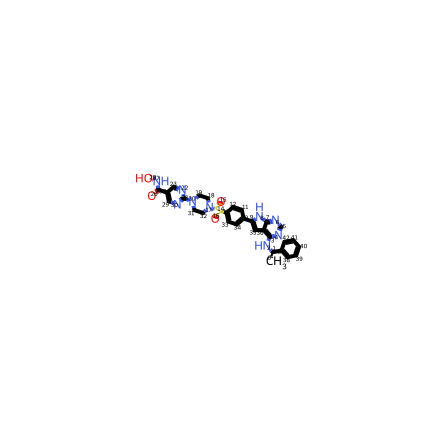 C[C@@H](Nc1ncnc2[nH]c(-c3ccc(S(=O)(=O)N4CCN(c5ncc(C(=O)NO)cn5)CC4)cc3)cc12)c1ccccc1